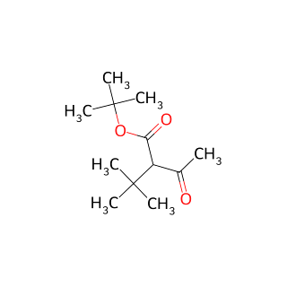 CC(=O)C(C(=O)OC(C)(C)C)C(C)(C)C